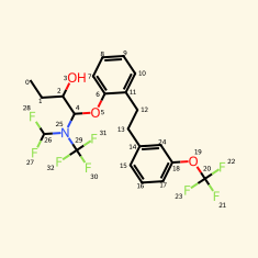 CCC(O)C(Oc1ccccc1CCc1cccc(OC(F)(F)F)c1)N(C(F)F)C(F)(F)F